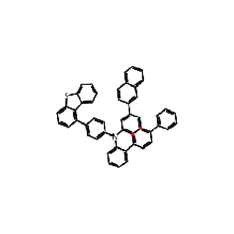 c1ccc(-c2ccc(-c3ccccc3N(c3ccc(-c4cccc5sc6ccccc6c45)cc3)c3cccc(-c4ccc5ccccc5c4)c3)cc2)cc1